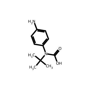 CC(C)(C)N(C(=O)O)c1ccc(N)cc1